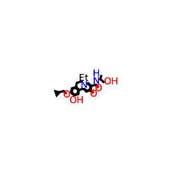 CCC1Cc2cc(OCC3CC3)c(O)cc2-c2cc(=O)c(C(=O)NC(C)CO)cn21